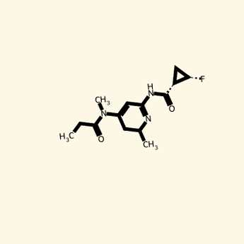 CCC(=O)N(C)C1=CC(NC(=O)[C@@H]2C[C@@H]2F)=NC(C)C1